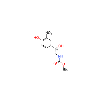 CC(C)(C)OC(=O)NC[C@@H](O)c1ccc(O)c([N+](=O)[O-])c1